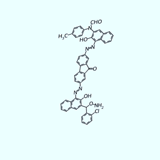 Cc1ccc(N(C=O)c2cc3ccccc3c(N=Nc3ccc4c(c3)C(=O)c3cc(N=Nc5c(O)c(C(ON)c6ccccc6Cl)cc6ccccc56)ccc3-4)c2O)cc1